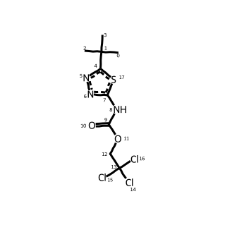 CC(C)(C)c1nnc(NC(=O)OCC(Cl)(Cl)Cl)s1